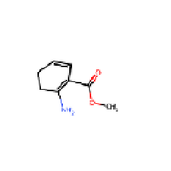 COC(=O)C1=C(N)[CH]CC=C1